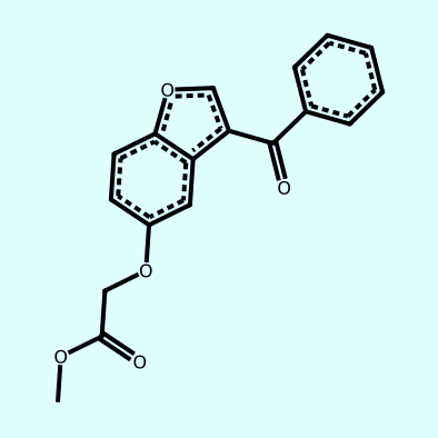 COC(=O)COc1ccc2occ(C(=O)c3ccccc3)c2c1